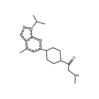 CNCC(=O)N1CCC(c2cc(C)c3cnn(C(C)C)c3n2)CC1